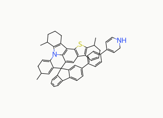 CC1C=C2C(=CC1)n1c3c(c4c5sc6c(c5cc(c41)C21c2ccccc2-c2ccc(-c4ccc(C5=CCNC=C5)cc4)cc21)C=CCC6C)CCCC3C